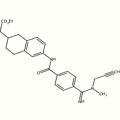 C#CCN(C)C(=N)c1ccc(C(=O)Nc2ccc3c(c2)CCC(CC(=O)OCC)C3)cc1